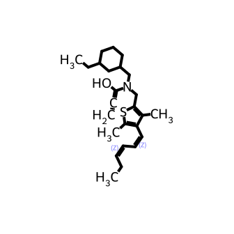 C=C=C(O)N(Cc1sc(C)c(/C=C\C=C/CC)c1C)CC1CCCC(CC)C1